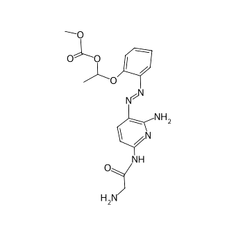 COC(=O)OC(C)Oc1ccccc1/N=N/c1ccc(NC(=O)CN)nc1N